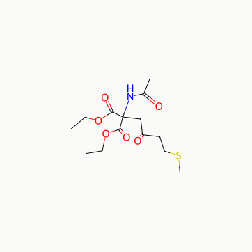 CCOC(=O)C(CC(=O)CCSC)(NC(C)=O)C(=O)OCC